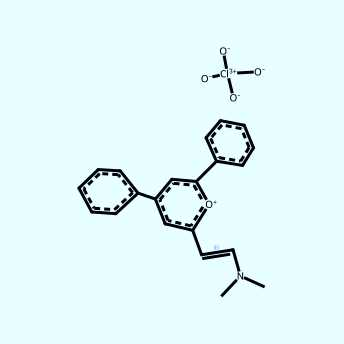 CN(C)/C=C/c1cc(-c2ccccc2)cc(-c2ccccc2)[o+]1.[O-][Cl+3]([O-])([O-])[O-]